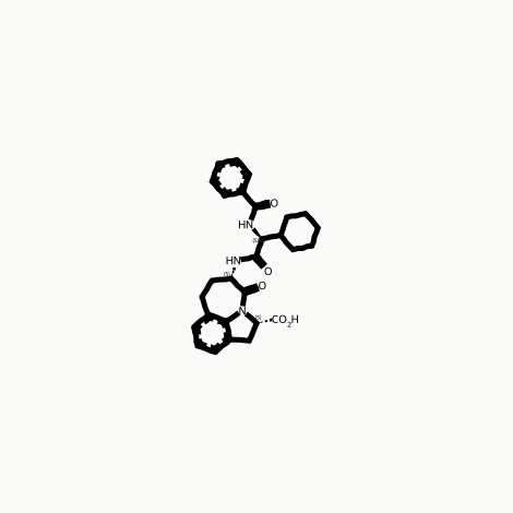 O=C(N[C@H](C(=O)N[C@H]1CCc2cccc3c2N(C1=O)[C@H](C(=O)O)C3)C1CCCCC1)c1ccccc1